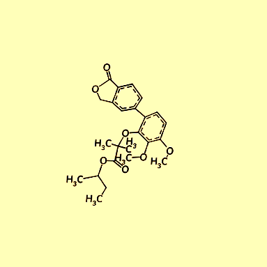 CCC(C)OC(=O)C(C)(C)Oc1c(-c2ccc3c(c2)COC3=O)ccc(OC)c1OC